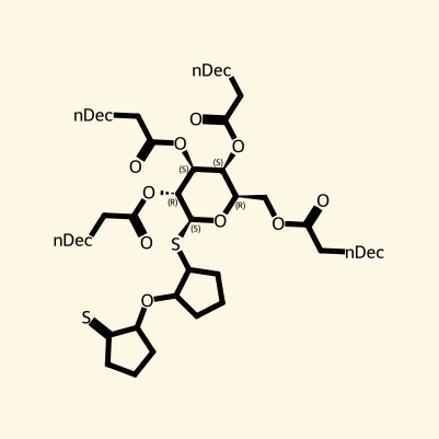 CCCCCCCCCCCC(=O)OC[C@H]1O[C@@H](SC2CCCC2OC2CCCC2=S)[C@H](OC(=O)CCCCCCCCCCC)[C@@H](OC(=O)CCCCCCCCCCC)[C@H]1OC(=O)CCCCCCCCCCC